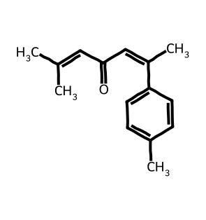 CC(C)=CC(=O)/C=C(/C)c1ccc(C)cc1